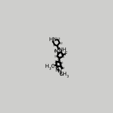 Cc1cc(-c2cc(F)c3[nH]c(C4CCNCC4)nc3c2)cc2cn(C)nc12